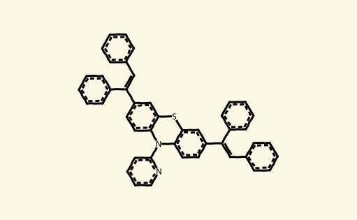 C(=C(c1ccccc1)c1ccc2c(c1)Sc1cc(C(=Cc3ccccc3)c3ccccc3)ccc1N2c1ccccn1)c1ccccc1